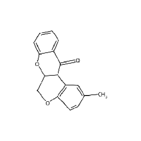 Cc1ccc2c(c1)C1C(=O)c3ccccc3OC1CO2